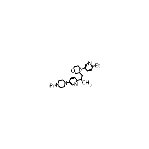 CCc1ccc(N2CCOCC2CC(C)c2ccc(N3CCN(C(C)C)CC3)cn2)cn1